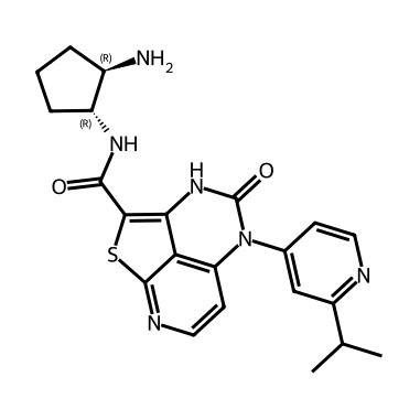 CC(C)c1cc(N2C(=O)Nc3c(C(=O)N[C@@H]4CCC[C@H]4N)sc4nccc2c34)ccn1